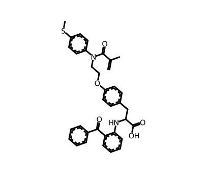 C=C(C)C(=O)N(CCOc1ccc(CC(Nc2ccccc2C(=O)c2ccccc2)C(=O)O)cc1)c1ccc(SC)cc1